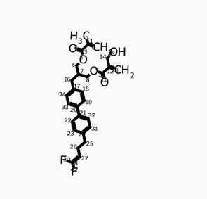 C=C(C)C(=O)OCC(COC(=O)C(=C)CO)Cc1ccc(-c2ccc(CCC=C(F)F)cc2)cc1